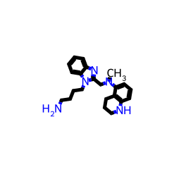 CN(Cc1nc2ccccc2n1CCCCN)c1cccc2c1CCCN2